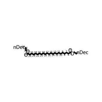 CCCCCCCCCCCCOC(=O)CCCCCCCCCCCCCCCCCCCCCC(=O)OCCCCCCCCCCCC